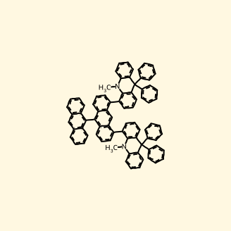 CN1c2ccccc2C(c2ccccc2)(c2ccccc2)c2cccc(-c3cccc4c(-c5c6ccccc6cc6ccccc56)c5cccc(-c6cccc7c6N(C)c6ccccc6C7(c6ccccc6)c6ccccc6)c5cc34)c21